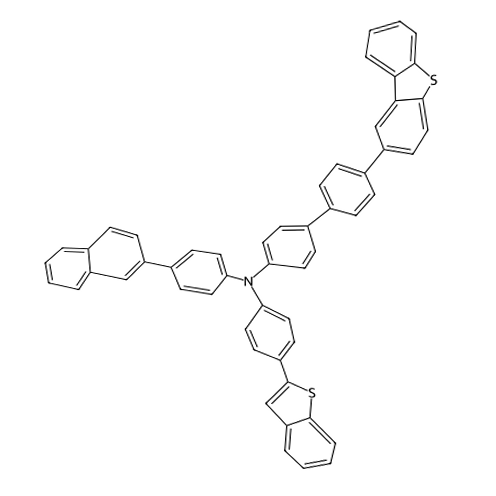 c1ccc2cc(-c3ccc(N(c4ccc(-c5ccc(-c6ccc7sc8ccccc8c7c6)cc5)cc4)c4ccc(-c5cc6ccccc6s5)cc4)cc3)ccc2c1